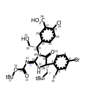 CC(C)(C)C[C@]1(c2ccc(Br)cc2F)N/C(=N\C(=O)OC(C)(C)C)N([C@H](CO)c2ccc(Cl)c(C(=O)O)c2)C1=O